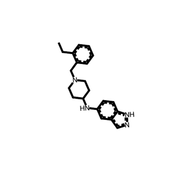 CCc1ccccc1CN1CCC(Nc2ccc3[nH]ncc3c2)CC1